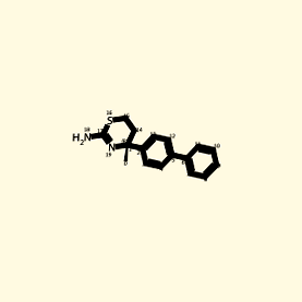 C[C@]1(c2ccc(-c3ccccc3)cc2)CCSC(N)=N1